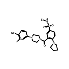 CCNS(=O)(=O)c1ccc(N2CCCC2)c(C(=O)N2CCN(c3ccc(C#N)c(F)c3)CC2)c1